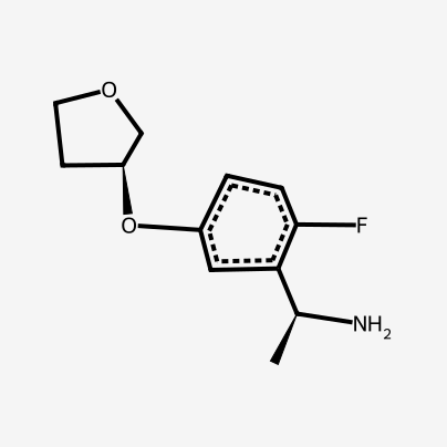 C[C@H](N)c1cc(O[C@H]2CCOC2)ccc1F